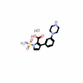 Cl.NS(=O)(=O)n1ccc(-c2cccc(N3CCNCC3)c2)c1C(=O)O